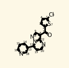 O=C(c1ccc(Cl)s1)c1cnn2c(-c3cccnc3)ccnc12